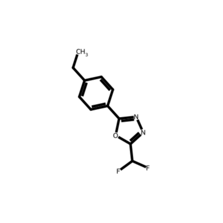 CCc1ccc(-c2nnc(C(F)F)o2)cc1